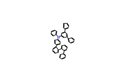 c1ccc(-c2cc(-c3ccccc3)cc(N(c3ccccc3)c3ccc(-c4ccccc4-c4ccccc4-c4ccccc4)cc3)c2)cc1